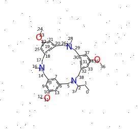 CCC(C)N1Cc2cc(cc(OC)c2)CN(C)Cc2cc(cc(OC)c2)CN(C)Cc2cc(cc(OC)c2)C1